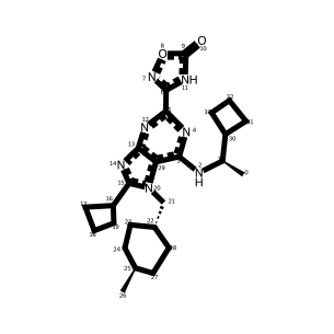 C[C@@H](Nc1nc(-c2noc(=O)[nH]2)nc2nc(C3CCC3)n(C[C@H]3CC[C@H](C)CC3)c12)C1CCC1